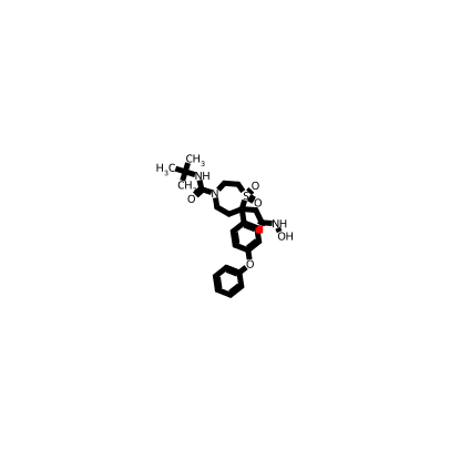 CC(C)(C)NC(=O)N1CCC(CC(=O)NO)(c2ccc(Oc3ccccc3)cc2)S(=O)(=O)CC1